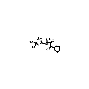 CC(NC(=O)OC(C)(C)C)C(=O)C(=[N+]=[N-])C1CCCCC1